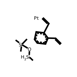 C=Cc1ccccc1C=C.C[SiH2]O[Si](C)(C)C.[Pt]